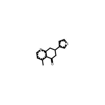 Cc1ccnc2c1C(=O)CC(c1ccsc1)C2